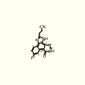 N#CCCc1nc2c3ccc(F)cc3c3c(=O)[nH]cnc3c2[nH]1